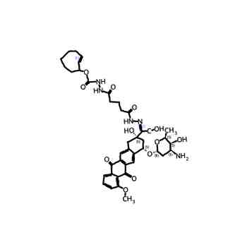 COc1cccc2c1C(=O)c1cc3c(cc1C2=O)C[C@@](O)(/C(CO)=N\NC(=O)CCCC(=O)NNC(=O)OC1/C=C/CCCCC1)C[C@@H]3O[C@H]1C[C@H](N)[C@H](O)[C@H](C)O1